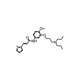 CCCN(CCC)CCCOc1cc(NC(=O)C=Cc2cccs2)ccc1OC